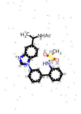 CC(=O)NC(C)c1ccc2c(c1)ncn2-c1cccc(-c2ccccc2NS(C)(=O)=O)c1